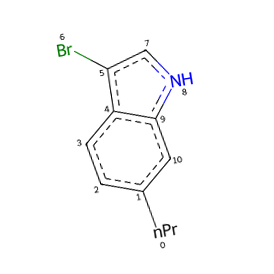 CCCc1ccc2c(Br)c[nH]c2c1